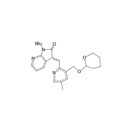 Cc1cnc(/C=C2/C(=O)N(C(C)(C)C)c3ncccc32)c(COC2CCCCO2)c1